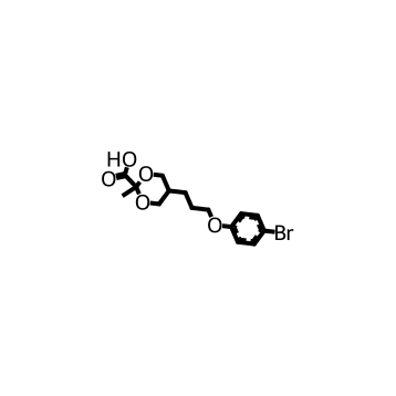 CC1(C(=O)O)OCC(CCCOc2ccc(Br)cc2)CO1